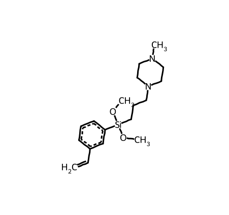 C=Cc1cccc([Si](CCCN2CCN(C)CC2)(OC)OC)c1